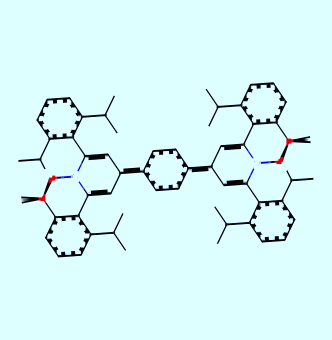 CCCN1C(c2c(C(C)C)cccc2C(C)C)=CC(=c2ccc(=C3C=C(c4c(C(C)C)cccc4C(C)C)N(CCC)C(c4c(C(C)C)cccc4C(C)C)=C3)cc2)C=C1c1c(C(C)C)cccc1C(C)C